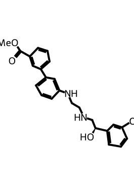 COC(=O)c1cccc(-c2cccc(NCCNC[C@H](O)c3cccc(Cl)c3)c2)c1